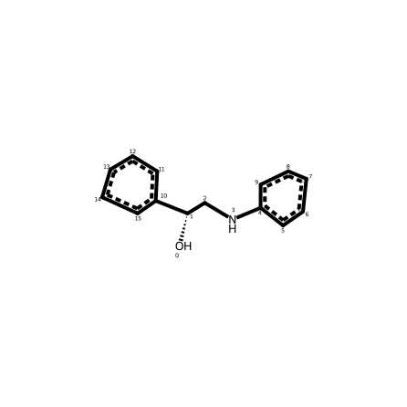 O[C@@H](CNc1ccccc1)c1ccccc1